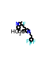 COc1ccc2ncc(C)c([C@@H](F)CCC3(CC(=O)O)CCN(CCCc4cc(F)c(F)c(F)c4)CC3)c2c1